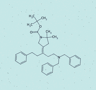 CC(C)(C)OC(=O)N1CC(=C(CCc2ccccc2)CCN(Cc2ccccc2)Cc2ccccc2)CC1(C)C